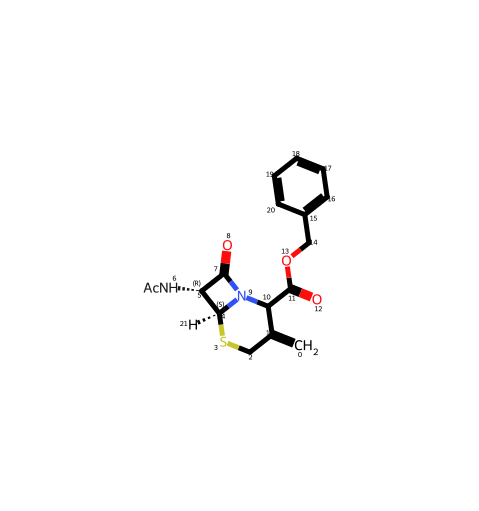 C=C1CS[C@H]2[C@H](NC(C)=O)C(=O)N2C1C(=O)OCc1ccccc1